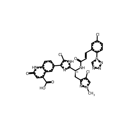 Cn1cc(Cl)c(C[C@H](NC(=O)C=Cc2cc(Cl)ccc2-n2cnnn2)c2nc(-c3ccc4[nH]c(=O)cc(C(=O)O)c4c3)c(Cl)[nH]2)n1